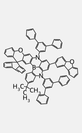 CC(C)(C)c1ccc2c(c1)N(c1cc(-c3ccccc3)cc(-c3ccccc3)c1)c1cc(-c3ccc4oc5ccccc5c4c3)cc3c1B2c1cc2c(cc1N3c1cc(-c3ccccc3)cc(-c3ccccc3)c1)Oc1ccccc1C21c2ccccc2-c2ccccc21